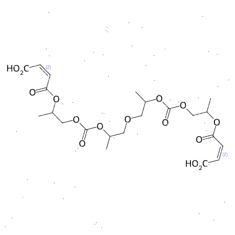 CC(COC(=O)OC(C)COCC(C)OC(=O)OCC(C)OC(=O)/C=C\C(=O)O)OC(=O)/C=C\C(=O)O